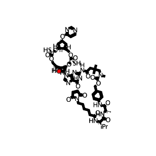 CC(C)[C@H](NC(=O)CCCCCN1C(=O)C=CC1=O)C(=O)N[C@@H](C)C(=O)Nc1ccc(COC(=O)N(C)CC(C)(C)CC(=O)Nc2nc3c(ncn3[C@@H]3O[C@H]4CO[P@@](=O)(S)O[C@H]5C[C@H](Oc6ccncn6)C[C@@H]5CO[P@@](=O)(S)O[C@@H]3[C@@H]4O)c(=O)[nH]2)cc1